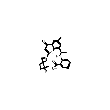 Cc1cc(C(C)Nc2ccccc2C(=O)O)c2oc(N3CC4(CCC4(F)F)C3)cc(=O)c2c1